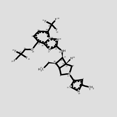 CC[C@@H]1C2CN(c3cc(C)ns3)C[C@H]2[C@@H]1Nc1nc2c(OCC(F)(F)F)ccc(C(F)(F)F)n2n1